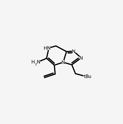 C=CC1=C(N)NCc2nnc(CC(C)(C)C)n21